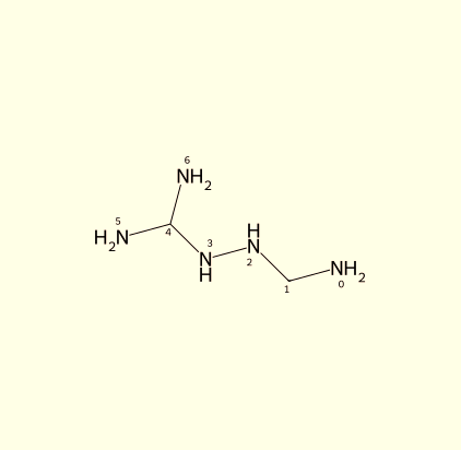 NCNNC(N)N